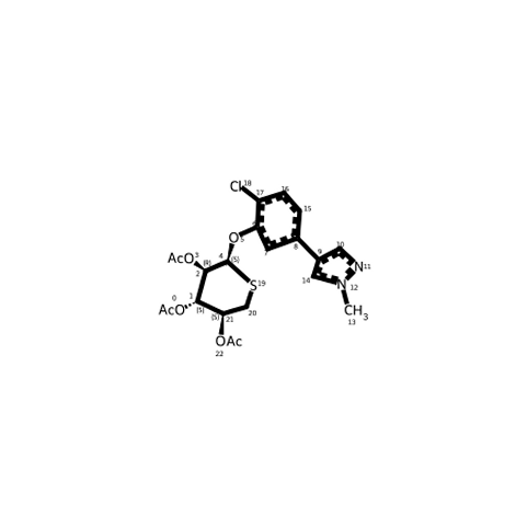 CC(=O)O[C@@H]1[C@@H](OC(C)=O)[C@@H](Oc2cc(-c3cnn(C)c3)ccc2Cl)SC[C@H]1OC(C)=O